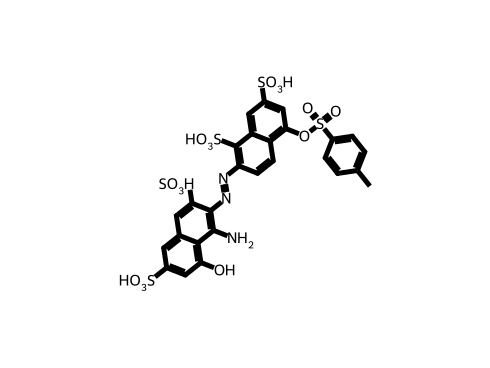 Cc1ccc(S(=O)(=O)Oc2cc(S(=O)(=O)O)cc3c(S(=O)(=O)O)c(N=Nc4c(S(=O)(=O)O)cc5cc(S(=O)(=O)O)cc(O)c5c4N)ccc23)cc1